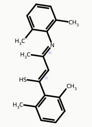 CC(/C=C(\S)c1c(C)cccc1C)=N\c1c(C)cccc1C